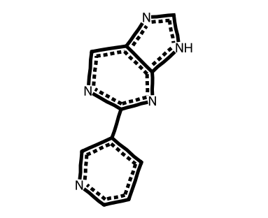 c1cncc(-c2ncc3nc[nH]c3n2)c1